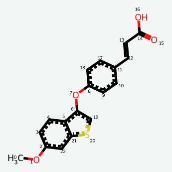 COc1ccc2c(Oc3ccc(/C=C/C(=O)O)cc3)csc2c1